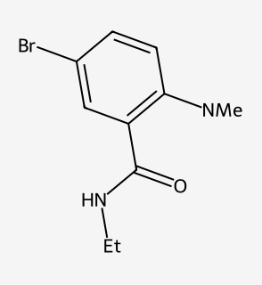 CCNC(=O)c1cc(Br)ccc1NC